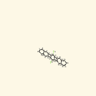 Fc1c2c3cc4ccccc4cc3c2c(F)c2c3cc4ccccc4cc3c12